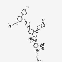 CN(C)CCOc1ccc(-c2ccc(Cl)cc2)c(CN2CCN(c3ccc(C(=O)NS(=O)(=O)c4ccc(NCCCN5CCCC5)c([N+](=O)[O-])c4)c(Oc4ccc5[nH]ccc5c4)c3)CC2)c1